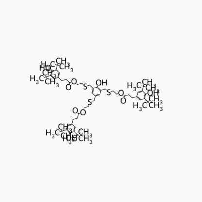 CC(C)(C)c1cc(CCC(=O)OCCSCc2cc(CSCCOC(=O)CCc3cc(C(C)(C)C)c(O)c(C(C)(C)C)c3)c(O)c(CSCCOC(=O)CCc3cc(C(C)(C)C)c(O)c(C(C)(C)C)c3)c2)cc(C(C)(C)C)c1O